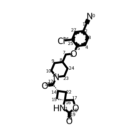 N#Cc1ccc(OCC2CCN(C(=O)[C@H]3C[C@@]4(COC(=O)N4)C3)CC2)c(Cl)c1